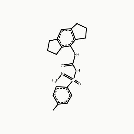 Cc1ccc(S(=O)(=NP)NC(=O)Nc2c3c(cc4c2CCC4)CCC3)cc1